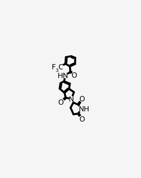 O=C1CCC(N2Cc3cc(NC(=O)c4ccccc4C(F)(F)F)ccc3C2=O)C(=O)N1